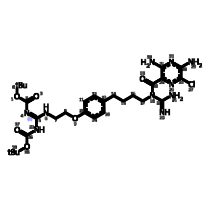 CC(C)(C)OC(=O)/N=C(\NCCOc1ccc(CCCCN(C(=N)N)C(=O)c2nc(Cl)c(N)nc2N)cc1)NC(=O)OC(C)(C)C